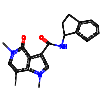 Cc1cn(C)c(=O)c2c(C(=O)NC3CCc4ccccc43)cn(C)c12